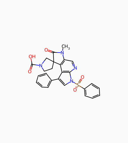 CN1C(=O)C2(CCN(C(=O)O)C2)c2c1cnc1c2c(-c2ccccc2)cn1S(=O)(=O)c1ccccc1